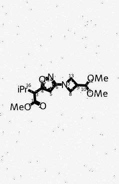 COC(=O)C(c1cc(N2CC(C(OC)OC)C2)no1)C(C)C